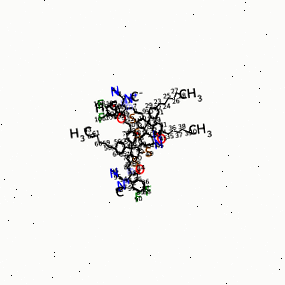 [C-]#[N+]/C(C#N)=C1\C(=C\c2cc3c(s2)-c2sc4c(c2C3(c2ccc(CCCCCC)cc2)c2ccc(CCCCCC)cc2)c2nonc2c2sc3c(c24)C(c2ccc(CCCCCC)cc2)(c2ccc(CCCCCC)cc2)c2cc(/C=C4\C(=O)c5cc(F)c(F)cc5\C4=C(\C#N)[N+]#[C-])sc2-3)C(=O)c2cc(F)c(F)cc21